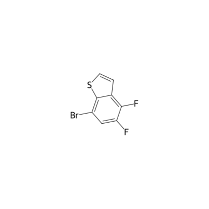 Fc1cc(Br)c2sccc2c1F